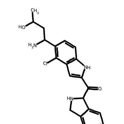 CC(O)CC(N)c1ccc2[nH]c(C(=O)C3NCc4ccccc43)cc2c1Cl